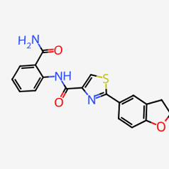 NC(=O)c1ccccc1NC(=O)c1csc(-c2ccc3c(c2)CCO3)n1